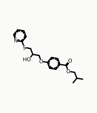 CC(C)COC(=O)c1ccc(OCC(O)CSc2ccccn2)cc1